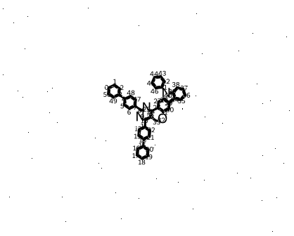 c1ccc(-c2ccc(-c3nc(-c4ccc(-c5ccccc5)cc4)c4c(n3)-c3cc5c(cc3OC4)c3ccccc3n5-c3ccccc3)cc2)cc1